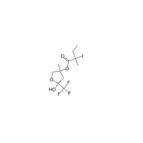 CCC(C)(I)C(=O)OC1(C)COC(O)(C(F)(F)F)C1